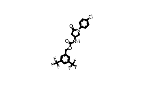 O=C(NC1CC(=O)N(c2ccc(Cl)cc2)C1)OCc1cc(C(F)(F)F)cc(C(F)(F)F)c1